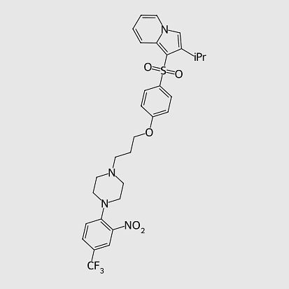 CC(C)c1cn2ccccc2c1S(=O)(=O)c1ccc(OCCCN2CCN(c3ccc(C(F)(F)F)cc3[N+](=O)[O-])CC2)cc1